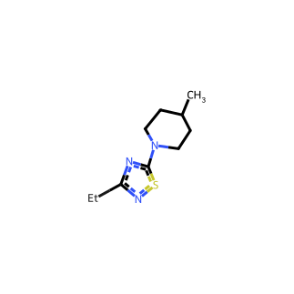 CCc1nsc(N2CCC(C)CC2)n1